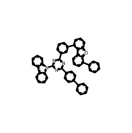 c1ccc(-c2ccc(-c3nc(-c4cccc(-c5cccc6oc7c(-c8ccccc8)cccc7c56)c4)nc(-n4c5ccccc5c5ccccc54)n3)cc2)cc1